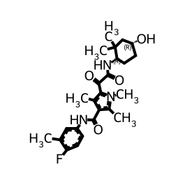 Cc1cc(NC(=O)c2c(C)c(C(=O)C(=O)N[C@@H]3CC[C@@H](O)CC3(C)C)n(C)c2C)ccc1F